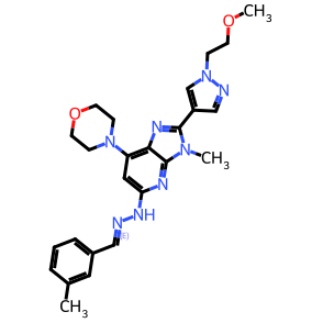 COCCn1cc(-c2nc3c(N4CCOCC4)cc(N/N=C/c4cccc(C)c4)nc3n2C)cn1